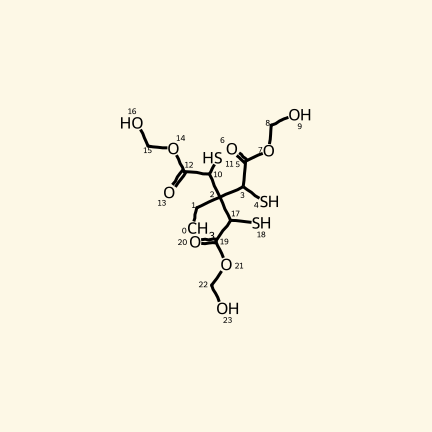 CCC(C(S)C(=O)OCO)(C(S)C(=O)OCO)C(S)C(=O)OCO